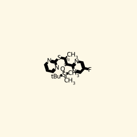 C[C@H](Sc1ncccn1)[C@@H](O[Si](C)(C)C(C)(C)C)c1ncc(F)cn1